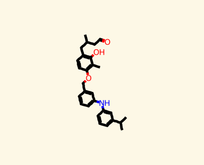 Cc1c(OCc2cccc(Nc3cccc(C(C)C)c3)c2)ccc(CC(C)CC=O)c1O